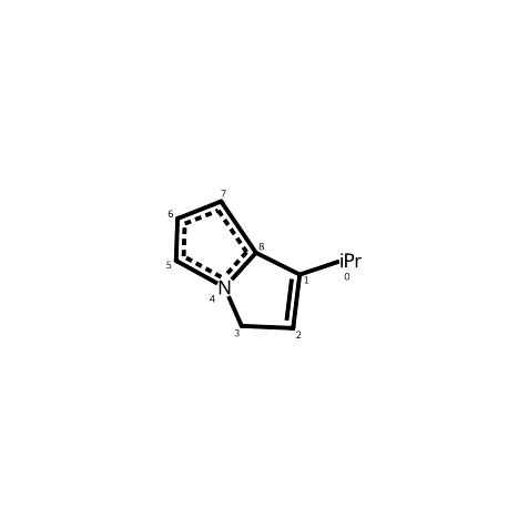 CC(C)C1=CCn2cccc21